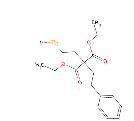 CCOC(=O)C(CCPI)(CCc1ccccc1)C(=O)OCC